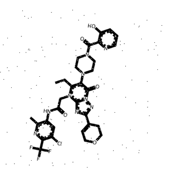 CCc1c(N2CCN(C(=O)c3ncccc3O)CC2)c(=O)n2nc(C3=CCOCC3)nc2n1CC(=O)Nc1cc(Cl)c(C(F)(F)F)nc1C